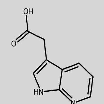 O=C(O)Cc1c[nH]c2ncccc12